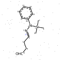 C[Si](C)(C)N(/N=C/CCC=O)c1ccccc1